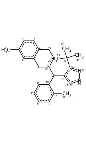 Cc1ccc2c(c1)CN(C(c1ccccc1C)c1nnnn1C(C)(C)C)CC2